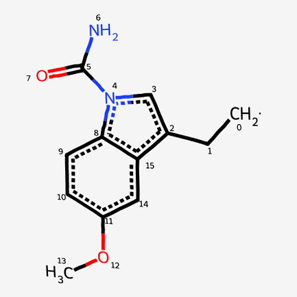 [CH2]Cc1cn(C(N)=O)c2ccc(OC)cc12